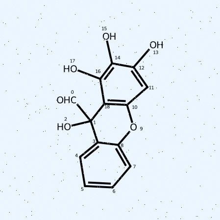 O=CC1(O)c2ccccc2Oc2cc(O)c(O)c(O)c21